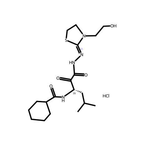 CC(C)C[C@H](NC(=O)C1CCCCC1)C(=O)C(=O)N/N=C1\SCCN1CCO.Cl